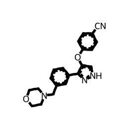 N#Cc1ccc(Oc2c[nH]nc2-c2cccc(CN3CCOCC3)c2)cc1